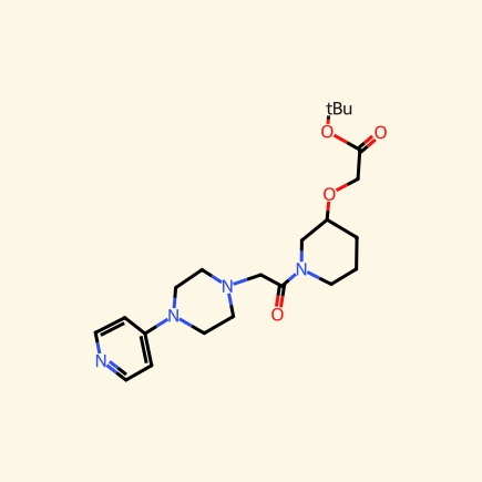 CC(C)(C)OC(=O)COC1CCCN(C(=O)CN2CCN(c3ccncc3)CC2)C1